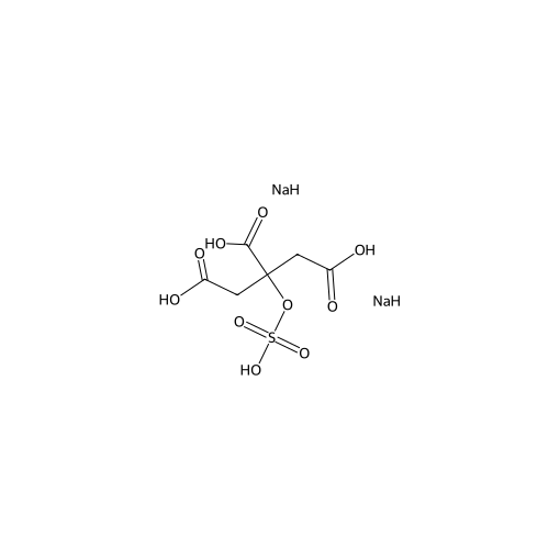 O=C(O)CC(CC(=O)O)(OS(=O)(=O)O)C(=O)O.[NaH].[NaH]